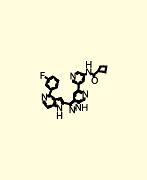 O=C(Nc1cncc(-c2cc3c(-c4cc5c(-c6cccc(F)c6)nccc5[nH]4)n[nH]c3cn2)c1)C1CCC1